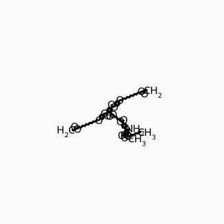 C=CC(=O)OCCCCCCCCCCCOc1ccc(OC(=O)c2ccc(C(=O)Oc3ccc(OCCCCCCCCCCCOC(=O)C=C)cc3)c(C(=O)OCCCCOC(=O)c3ccc(-c4cc([N+](=O)[O-])c(O[C@@H](C)CCCCCC)cc4N)cc3)c2)cc1